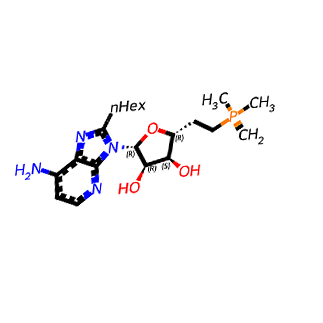 C=P(C)(C)CC[C@H]1O[C@@H](n2c(CCCCCC)nc3c(N)ccnc32)[C@H](O)[C@@H]1O